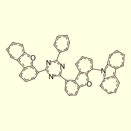 c1ccc(-c2nc(-c3cccc4c3oc3ccccc34)nc(-c3cccc4oc5c(-n6c7ccccc7c7ccccc76)cccc5c34)n2)cc1